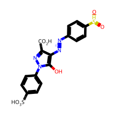 O=C(O)c1nn(-c2ccc(S(=O)(=O)O)cc2)c(O)c1/N=N/c1ccc([SH](=O)=O)cc1